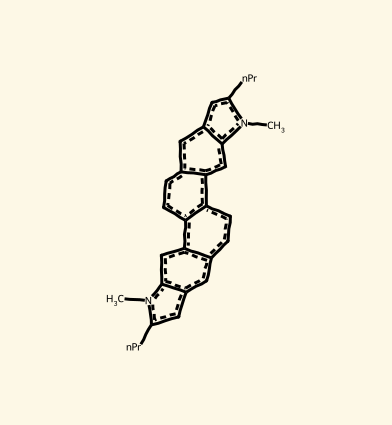 CCCc1cc2cc3ccc4c5cc6c(cc(CCC)n6C)cc5ccc4c3cc2n1C